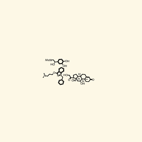 CN(C)CCCOc1nn(Cc2ccccc2)c2ccccc12.CNC[C@H](O)c1ccc(O)c(O)c1.C[C@]12CCC(=O)C=C1CC[C@@H]1[C@@H]2[C@@H](O)C[C@@]2(C)[C@H]1CC[C@]2(O)C(=O)CO